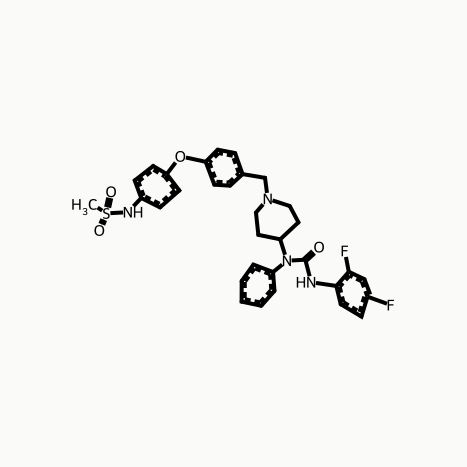 CS(=O)(=O)Nc1ccc(Oc2ccc(CN3CCC(N(C(=O)Nc4ccc(F)cc4F)c4ccccc4)CC3)cc2)cc1